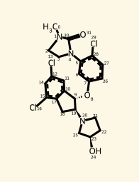 CN1CCN(c2cc(O[C@H]3c4cc(Cl)cc(Cl)c4C[C@@H]3N3CC[C@@H](O)C3)ccc2Cl)C1=O